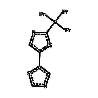 CC(C)[Si](c1ncc(-c2cncs2)s1)(C(C)C)C(C)C